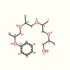 CC(CO)OCC(C)OCC(C)OCC(C)Oc1ccccc1